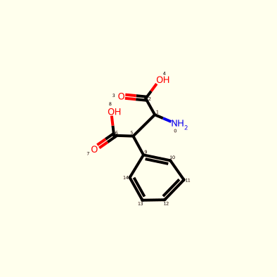 NC(C(=O)O)C(C(=O)O)c1ccccc1